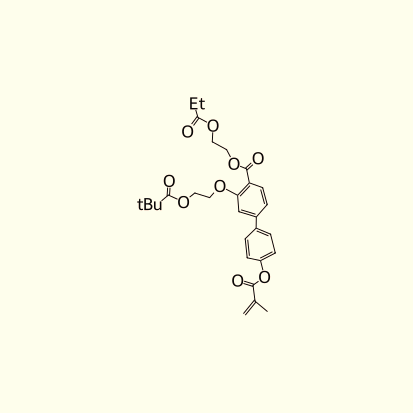 C=C(C)C(=O)Oc1ccc(-c2ccc(C(=O)OCCOC(=O)CC)c(OCCOC(=O)C(C)(C)C)c2)cc1